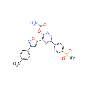 CC(C)S(=O)(=O)c1ccc(-c2cnc(OC(N)=O)c(-c3cc(-c4ccc([N+](=O)[O-])cc4)no3)n2)cc1